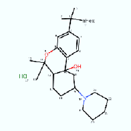 CCCCCCC(C)(C)c1ccc2c(c1)OC(C)(C)C1CCC(N3CCCCC3)CC21O.Cl